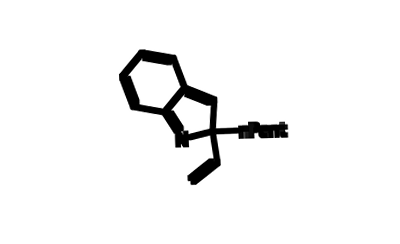 C=CC1(CCCCC)C=c2ccccc2=N1